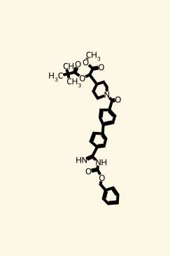 COC(=O)C(OC(=O)C(C)(C)C)C1CCN(C(=O)c2ccc(-c3ccc(C(=N)NC(=O)OCc4ccccc4)cc3)cc2)CC1